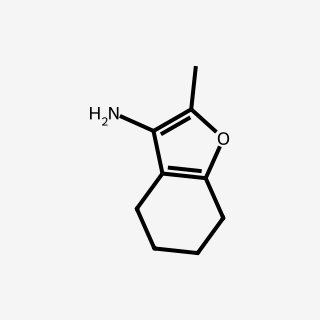 Cc1oc2c(c1N)CCCC2